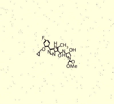 COCC(=O)N1C[C@@H](O)[C@H](NC(=O)c2c(C)[nH]c3c(-c4ccc(F)cc4OCC4CC4)ncnc23)C1